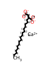 CCCCCCCCCCCCCCCCCC/C(=C\C(=O)[O-])C(=O)[O-].[Ca+2]